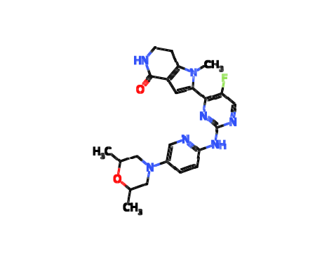 CC1CN(c2ccc(Nc3ncc(F)c(-c4cc5c(n4C)CCNC5=O)n3)nc2)CC(C)O1